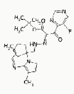 C=C/C=N\c1c(C)ccn1C1(CN/N=C(\C(=O)OC(C)(C)C)C(=O)c2ncncc2F)CCCC1